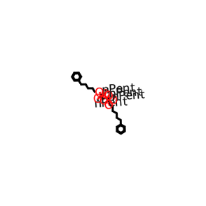 CCCCCOC(OCCCCC)(OCCCCCc1ccccc1)OC(OCCCCC)(OCCCCC)OCCCCCc1ccccc1